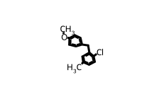 COc1ccc(Cc2cc(C)ccc2Cl)cc1